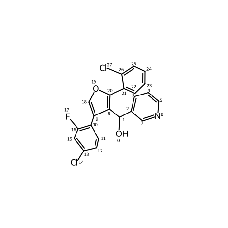 OC(c1cccnc1)c1c(-c2ccc(Cl)cc2F)coc1-c1ccccc1Cl